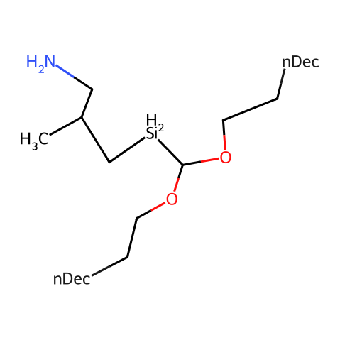 CCCCCCCCCCCCOC(OCCCCCCCCCCCC)[SiH2]CC(C)CN